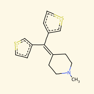 CN1CCC(=C(c2ccsc2)c2ccsc2)CC1